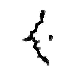 N#CCCCO[PH](=O)OCCCC#N.[Zr]